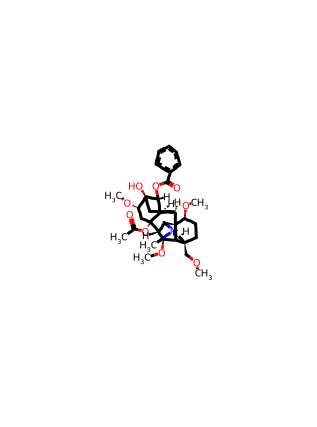 COC[C@@]12CC[C@H](OC)[C@]34C([C@H]([C@H](OC)[C@H]13)[C@@]1(OC(C)=O)C[C@H](OC)[C@@]3(O)C[C@@H]4[C@@H]1[C@H]3OC(=O)c1ccccc1)N(C)C2